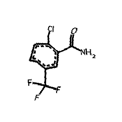 NC(=O)c1cc(C(F)(F)F)ccc1Cl